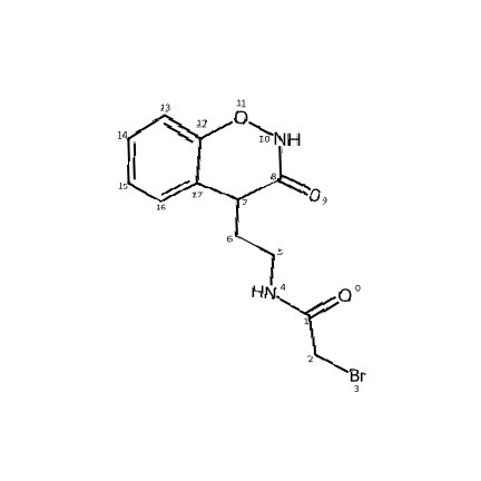 O=C(CBr)NCCC1C(=O)NOc2ccccc21